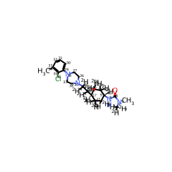 [2H]C([2H])([2H])N(C)C(=O)N[C@]1([2H])C([2H])([2H])C([2H])([2H])[C@@]([2H])(C([2H])([2H])C([2H])([2H])N2CCN(c3cccc(C)c3Cl)CC2)C([2H])([2H])C1([2H])[2H]